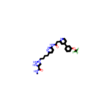 CNC(=O)C1=CN(CCCCc2ccc(NC(=O)Cc3cc(-c4cccc(OC(F)(F)F)c4)ccn3)nn2)NN1